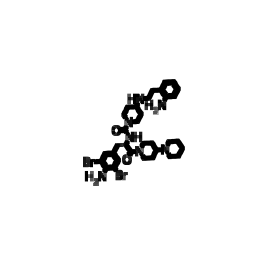 Nc1ccccc1CCNC1CCN(C(=O)N[C@H](Cc2cc(Br)c(N)c(Br)c2)C(=O)N2CCC(N3CCCCC3)CC2)CC1